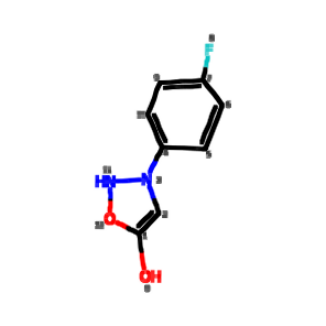 OC1=CN(c2ccc(F)cc2)NO1